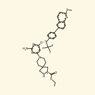 CCOC(=O)[C@@H]1CC2(CCN(c3cc(O[C@H](c4ccc(-c5ccc6nc(SC)ccc6c5)cc4)C(F)(F)F)nc(N)n3)CC2)CN1